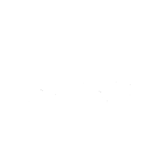 CN(C)C(=S)SSC(=S)N(C)C.F[B-](F)(F)F